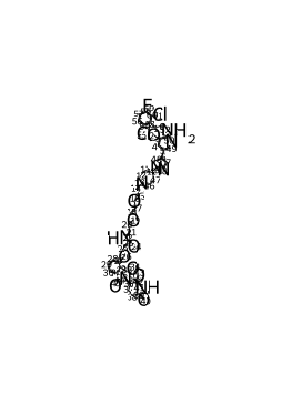 C[C@@H](Oc1cc(-c2cnn(C3CCN(CCOCCOCCNC(=O)COc4cccc5c4C(=O)N(C4CCC(=O)NC4=O)C5=O)CC3)c2)cnc1N)c1c(Cl)ccc(F)c1Cl